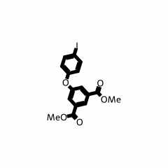 COC(=O)c1cc(Oc2ccc(I)cc2)cc(C(=O)OC)c1